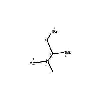 CC(=O)N(C)C(CC(C)(C)C)C(C)(C)C